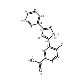 Cc1ccc(C(=O)O)cc1-c1nc(-c2cccnc2)c[nH]1